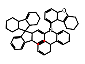 C1=CCC(C2=CCCC=C2N(C2=CC3C(C=C2)c2ccccc2C32C3CCCC=C3C3CCCCC32)C2=CC=CC3OC4=C(CCCC4)C23)C=C1